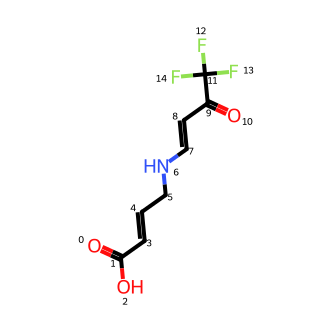 O=C(O)C=CCNC=CC(=O)C(F)(F)F